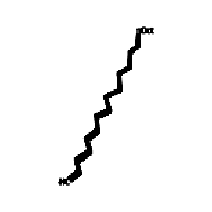 [CH]=C/C=C/C=C/C=C/CCCCCCCCCCCCCC